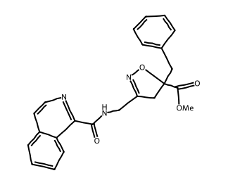 COC(=O)C1(Cc2ccccc2)CC(CNC(=O)c2nccc3ccccc23)=NO1